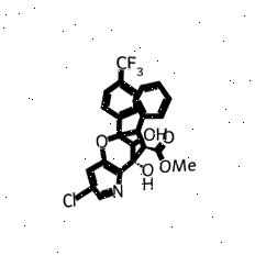 COC(=O)[C@@H]1C(c2ccccc2)C2(c3ccc(C(F)(F)F)cc3)Oc3cc(Cl)cnc3[C@@]1(O)C2O